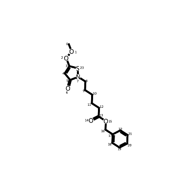 COOc1cc(=O)n(CCCCCC(=O)OCc2ccccc2)s1